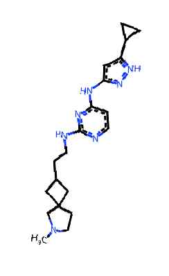 CN1CCC2(CC(CCNc3nccc(Nc4cc(C5CC5)[nH]n4)n3)C2)C1